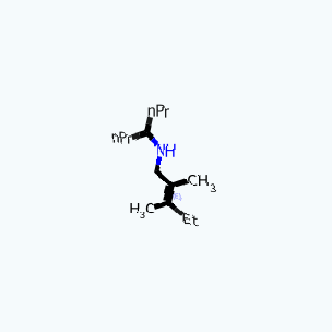 CCCC(CCC)NC/C(C)=C(\C)CC